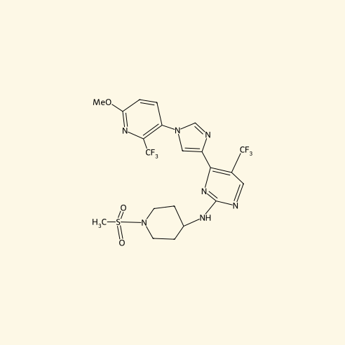 COc1ccc(-n2cnc(-c3nc(NC4CCN(S(C)(=O)=O)CC4)ncc3C(F)(F)F)c2)c(C(F)(F)F)n1